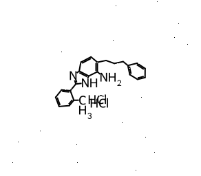 Cc1ccccc1-c1nc2ccc(CCCc3ccccc3)c(N)c2[nH]1.Cl.Cl